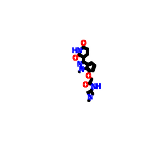 CN1CC(NC(=O)COc2cccc3c(C4CCC(=O)NC4=O)nn(C)c23)C1